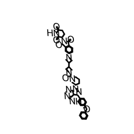 NC1=NC=NC2C1C(c1ccc(Oc3ccccc3)cc1)=NN2[C@@H]1CCCN(C(=O)N2CC(C3CN(c4ccc5c(c4)C(=O)N(C4CCC(=O)NC4=O)C5=O)C3)C2)C1